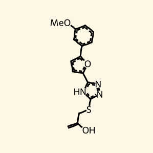 C=C(O)CSc1nnc(-c2ccc(-c3cccc(OC)c3)o2)[nH]1